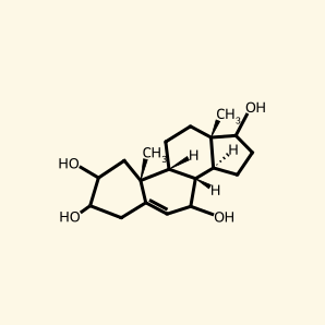 C[C@]12CC(O)C(O)CC1=CC(O)[C@@H]1[C@H]2CC[C@]2(C)C(O)CC[C@@H]12